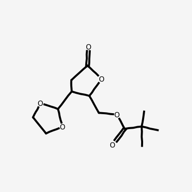 CC(C)(C)C(=O)OCC1OC(=O)CC1C1OCCO1